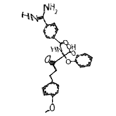 COc1ccc(CCC(=O)C(NC(=O)c2ccc(C(=N)N)cc2)(Oc2ccccc2)C(=O)O)cc1